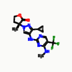 CNc1nc(Nc2cn([C@]3(C)CCOC3=O)nc2C2CC2)ncc1C(F)(F)F